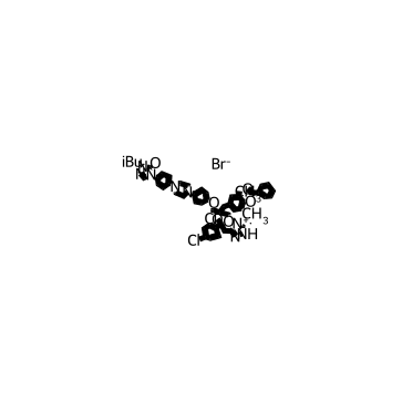 CCC(C)n1ncn(-c2ccc(N3CCN(c4ccc(OCC5(Cc6cc(C)c(OC(=O)c7ccccc7)c(C)c6)COC(CC6=NNC=[N+]6)(c6ccc(Cl)cc6Cl)O5)cc4)CC3)cc2)c1=O.[Br-]